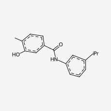 Cc1ccc(C(=O)Nc2cccc(C(C)C)c2)cc1O